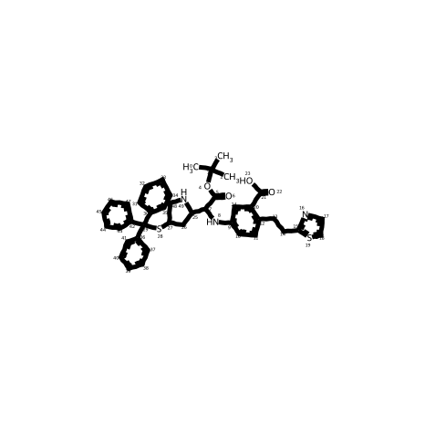 CC(C)(C)OC(=O)C(Nc1ccc(CCc2nccs2)c(C(=O)O)c1)C1CC(SC(c2ccccc2)(c2ccccc2)c2ccccc2)CN1